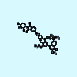 COc1cc(-c2cn(C)c(=O)c3cnc(N(C)C)cc23)cc(OC)c1CN1CCC2(C1)CN(c1ccc3c(c1)C(=O)N(C1CCC(=O)NC1=O)C3=O)C2